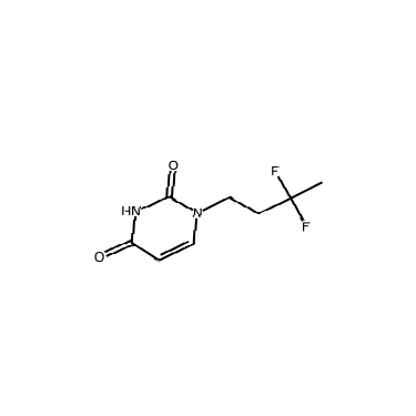 CC(F)(F)CCn1ccc(=O)[nH]c1=O